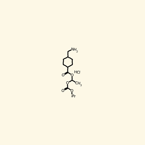 CC(C)OC(=O)OC(C)OC(=O)C1CCC(CN)CC1.Cl